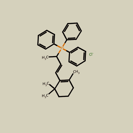 CC1=C(/C=C/C(C)[P+](c2ccccc2)(c2ccccc2)c2ccccc2)C(C)(C)CCC1.[Cl-]